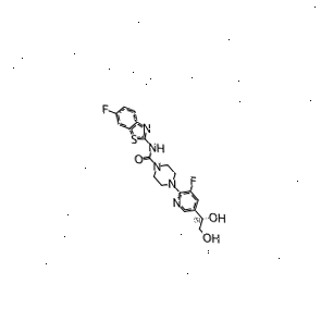 O=C(Nc1nc2ccc(F)cc2s1)N1CCN(c2ncc([C@H](O)CO)cc2F)CC1